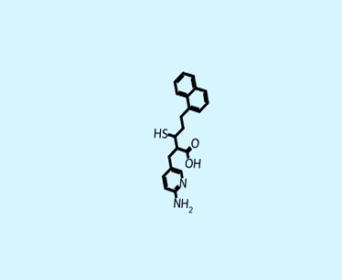 Nc1ccc(CC(C(=O)O)C(S)CCc2cccc3ccccc23)cn1